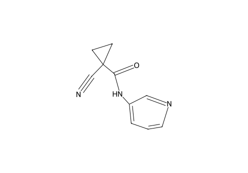 N#CC1(C(=O)Nc2cccnc2)CC1